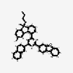 CCCCC1(C)c2ccc(C)cc2-c2c(-c3cc(-c4ccc5ccccc5c4)nc(-c4ccc5c(c4)oc4ccccc45)n3)cccc21